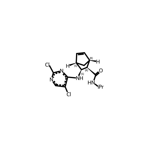 CC(C)NC(=O)[C@H]1[C@@H](Nc2nc(Cl)ncc2Cl)[C@@H]2C=C[C@H]1C2